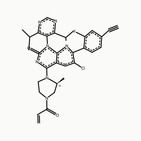 C#Cc1ccc(-c2nc3c(cc2Cl)c(N2CCN(C(=O)C=C)C[C@@H]2C)nc(=O)n3-c2c(C(C)C)ncnc2C(C)C)c(F)c1